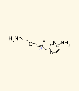 NCCCOC/C=C(\F)CC1=NC=C[C@H](N)N=C1